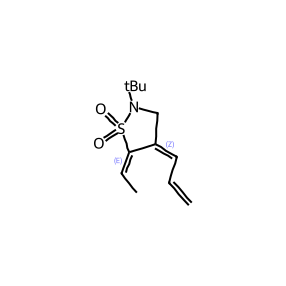 C=C/C=C1/CN(C(C)(C)C)S(=O)(=O)/C1=C/C